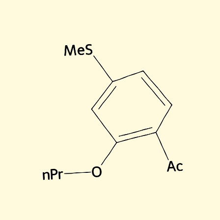 CCCOc1cc(SC)ccc1C(C)=O